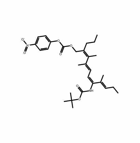 CC/C=C(C)/C(=C\C=C(C)\C(C)=C(\CCC)COC(=O)Oc1ccc([N+](=O)[O-])cc1)NC(=O)OC(C)(C)C